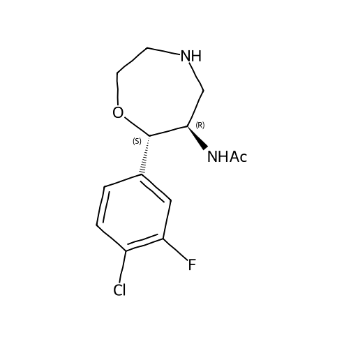 CC(=O)N[C@@H]1CNCCO[C@H]1c1ccc(Cl)c(F)c1